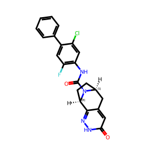 O=C(Nc1cc(Cl)c(-c2ccccc2)cc1F)N1[C@H]2CC[C@@H]1c1n[nH]c(=O)cc1C2